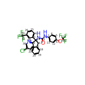 O=C(Nc1ccc(OC(F)(F)F)cc1)NC(Cc1ccccc1)(c1cccc(C(F)(F)F)c1)c1ccc(Cl)cn1